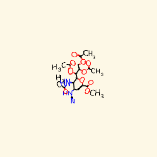 COC(=O)C1=CC(NC#N)C(NC(C)=O)C(C(OC(C)=O)C(COC(C)=O)OC(C)=O)O1